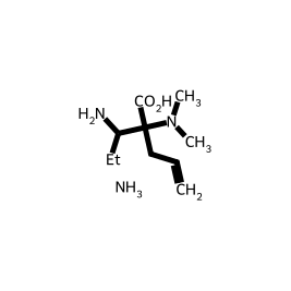 C=CCC(C(=O)O)(C(N)CC)N(C)C.N